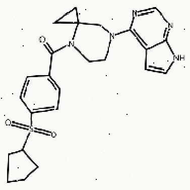 O=C(c1ccc(S(=O)(=O)C2CCCC2)cc1)N1CCN(c2ncnc3[nH]ccc23)CC12CC2